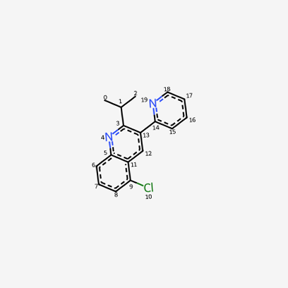 CC(C)c1nc2cccc(Cl)c2cc1-c1ccccn1